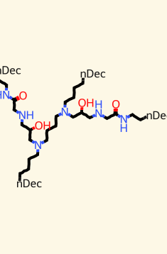 CCCCCCCCCCCCCCN(CCCCN(CCCCCCCCCCCCCC)CC(O)CNCC(=O)NCCCCCCCCCCCC)CC(O)CNCC(=O)NCCCCCCCCCCCC